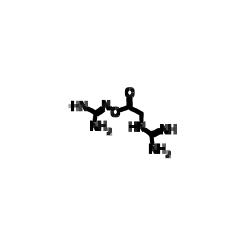 [NH]C(N)=NOC(=O)CNC(=N)N